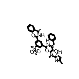 Cc1csc(N(C)C[C@@H](O)[C@H](Cc2ccccc2)NC(=O)c2cc(C(=O)N[C@H](C)c3ccccc3)cc(N(C)S(C)(=O)=O)c2)n1